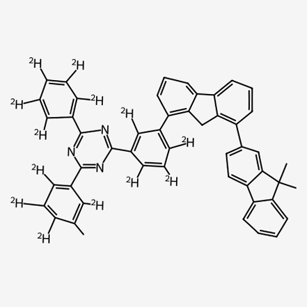 [2H]c1c([2H])c([2H])c(-c2nc(-c3c([2H])c([2H])c([2H])c(C)c3[2H])nc(-c3c([2H])c([2H])c([2H])c(-c4cccc5c4Cc4c(-c6ccc7c(c6)C(C)(C)c6ccccc6-7)cccc4-5)c3[2H])n2)c([2H])c1[2H]